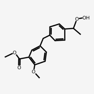 COC(=O)c1cc(Cc2ccc(C(C)OO)cc2)ccc1OC